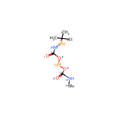 CCC(C)(C)PNC(=O)OPOC(=O)NC(C)(C)C